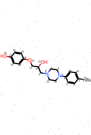 CCCCc1ccc(N2CCN(C[C@H](O)COc3ccc(O)cc3)CC2)cc1